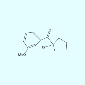 COc1cccc(C(=O)C2(Br)CCCC2)c1